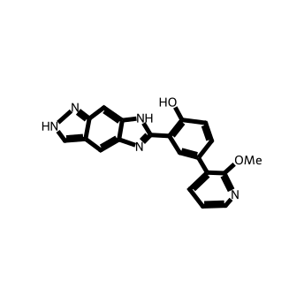 COc1ncccc1-c1ccc(O)c(-c2nc3cc4c[nH]nc4cc3[nH]2)c1